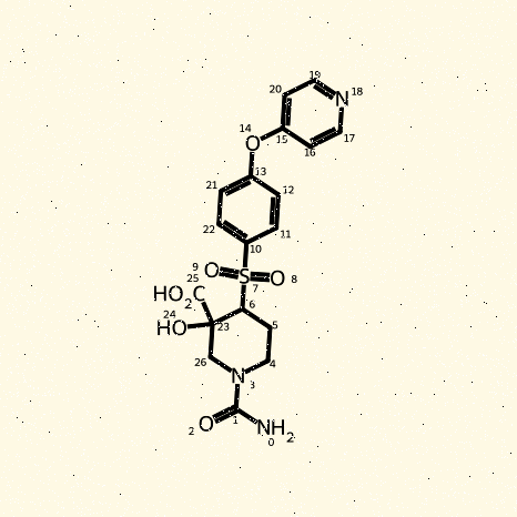 NC(=O)N1CCC(S(=O)(=O)c2ccc(Oc3ccncc3)cc2)C(O)(C(=O)O)C1